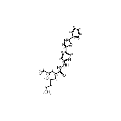 CCCCC[C@@H](CN(O)C=O)C(=O)NNc1ccc(-c2nnc(-c3ccccc3)o2)cn1